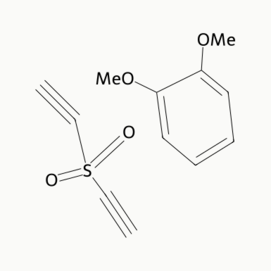 C#CS(=O)(=O)C#C.COc1ccccc1OC